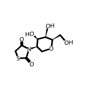 O=C1CSC(=O)N1[C@@H]1CO[C@H](CO)[C@H](O)[C@@H]1O